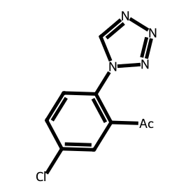 CC(=O)c1cc(Cl)ccc1-n1cnnn1